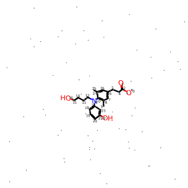 COC(=O)CCc1cc(C)c(N(CCCCO)c2cccc(O)c2)c(C)c1